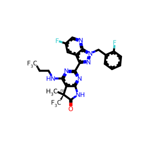 C[C@@]1(C(F)(F)F)C(=O)Nc2nc(-c3nn(Cc4ccccc4F)c4ncc(F)cc34)nc(NCCC(F)(F)F)c21